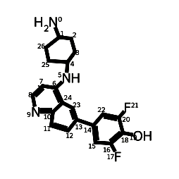 NC1CCC(Nc2[c]cnc3ccc(-c4cc(F)c(O)c(F)c4)cc23)CC1